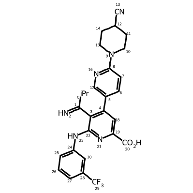 CC(C)C(=N)c1c(-c2ccc(N3CCC(C#N)CC3)nc2)cc(C(=O)O)nc1Nc1cccc(C(F)(F)F)c1